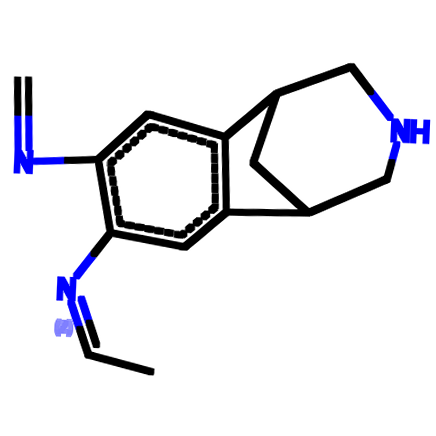 C=Nc1cc2c(cc1/N=C\C)C1CNCC2C1